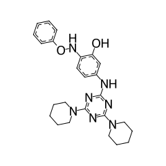 Oc1cc(Nc2nc(N3CCCCC3)nc(N3CCCCC3)n2)ccc1NOc1ccccc1